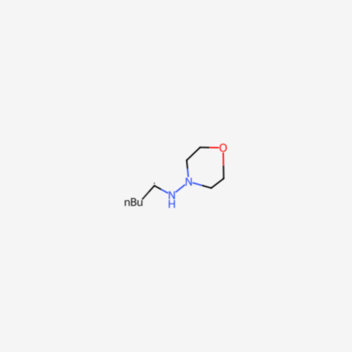 CCCC[CH]NN1CCOCC1